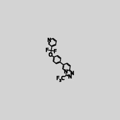 FC(F)(F)c1nnc2ccc(-c3ccc(OC(F)(F)c4cccnc4)cc3)cn12